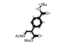 COC(=O)C(CNC(C)=O)c1ccc(C(=O)OC(C)(C)C)cc1